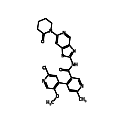 COc1cnc(Cl)cc1-c1cc(C)ncc1C(=O)Nc1nc2cnc(N3CCCCC3=O)cc2s1